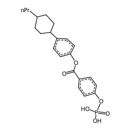 CCCC1CCC(c2ccc(OC(=O)c3ccc(OP(=O)(O)O)cc3)cc2)CC1